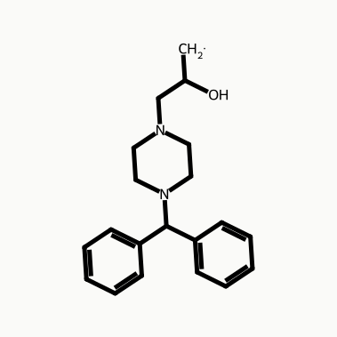 [CH2]C(O)CN1CCN(C(c2ccccc2)c2ccccc2)CC1